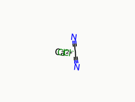 N#CC#N.[Ca+2].[Cl-].[Cl-]